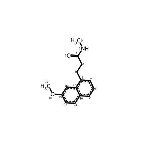 CNC(=O)CCc1cccc2ccc(OC)cc12